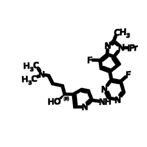 Cc1nc2c(F)cc(-c3nc(Nc4ccc([C@H](O)CCCN(C)C)cn4)ncc3F)cc2n1C(C)C